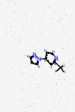 CC(C)(C)c1cc(-n2cccn2)ccn1